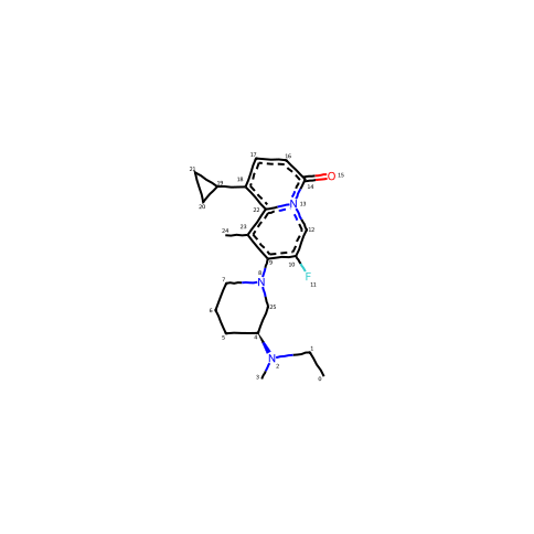 CCN(C)[C@H]1CCCN(c2c(F)cn3c(=O)ccc(C4CC4)c3c2C)C1